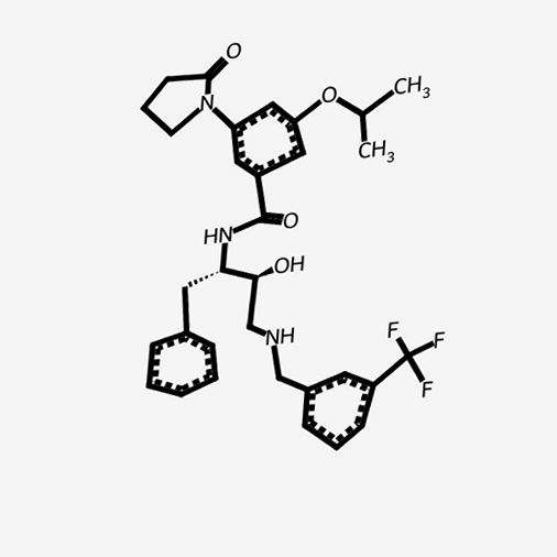 CC(C)Oc1cc(C(=O)N[C@@H](Cc2ccccc2)[C@@H](O)CNCc2cccc(C(F)(F)F)c2)cc(N2CCCC2=O)c1